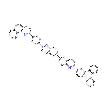 c1cnc2c(c1)ccc1ccc(-c3ccc(-c4ccc5cc(-c6ccc7nc(-c8ccc9c%10ccccc%10c%10ccccc%10c9c8)ccc7c6)ccc5n4)cc3)nc12